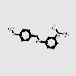 COc1ccc(CNc2cccc(N(C)C)c2)cc1